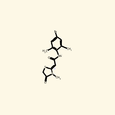 Cc1cc(Br)cc(C)c1NC(=O)/C=C1\SCC(=O)N1C